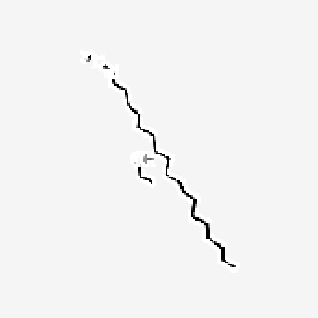 CCCCCCCCCCCCCCCCCCN=C=O.CCO